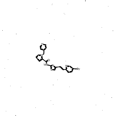 CC(C)c1ccc(C=Cc2csc(NC(=O)c3cccn3Cc3ccncc3)n2)nc1